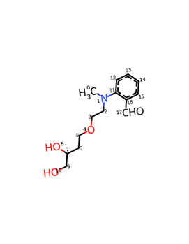 CN(CCOCCC(O)CO)c1ccccc1C=O